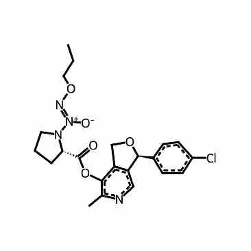 CCCO/N=[N+](\[O-])N1CCC[C@H]1C(=O)Oc1c(C)ncc2c1CO[C@H]2c1ccc(Cl)cc1